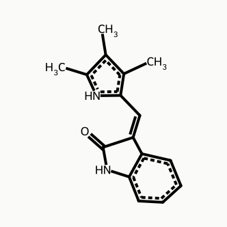 Cc1[nH]c(/C=C2\C(=O)Nc3ccccc32)c(C)c1C